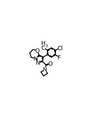 Cc1cc(Cl)c(F)cc1-c1c(C(=O)N2CCC2)nn2c1OCCC2